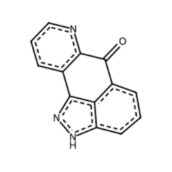 O=C1c2ncccc2-c2n[nH]c3cccc1c23